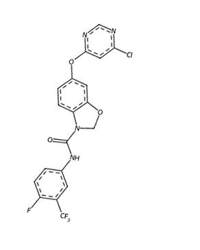 O=C(Nc1ccc(F)c(C(F)(F)F)c1)N1COc2cc(Oc3cc(Cl)ncn3)ccc21